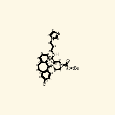 CC(C)(C)OC(=O)N1CCN(C2c3ccc(Cl)cc3CCc3cccnc32)[C@@H](C(=O)NCCCn2ccnc2)C1